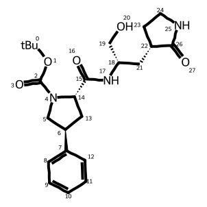 CC(C)(C)OC(=O)N1C[C@H](c2ccccc2)C[C@H]1C(=O)N[C@H](CO)C[C@@H]1CCNC1=O